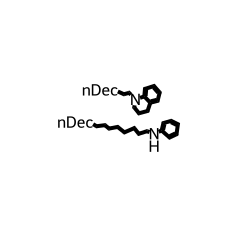 CCCCCCCCCCCCCCCCCCNc1ccccc1.CCCCCCCCCCCCN1CCCc2ccccc21